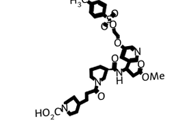 COC(=O)CC(NC(=O)[C@@H]1CCCN(C(=O)CCC2CCN(C(=O)O)CC2)C1)c1cncc(OCCOS(=O)(=O)c2ccc(C)cc2)c1